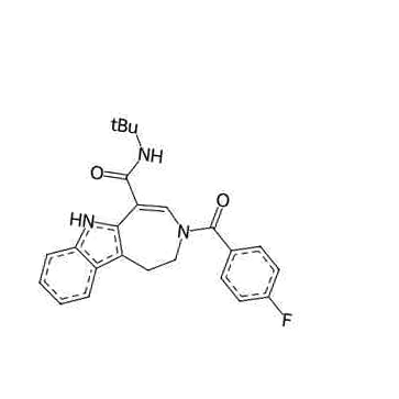 CC(C)(C)NC(=O)C1=CN(C(=O)c2ccc(F)cc2)CCc2c1[nH]c1ccccc21